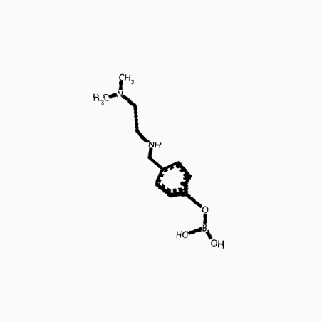 CN(C)CCNCc1ccc(OB(O)O)cc1